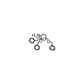 NC1CCC(COCc2ccccc2)OC1(OCc1ccccc1)OCc1ccccc1